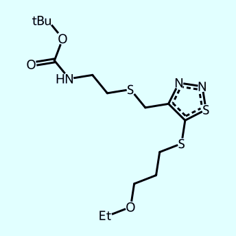 CCOCCCSc1snnc1CSCCNC(=O)OC(C)(C)C